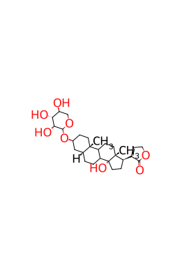 C[C@]12CC[C@H](OC3OC[C@H](O)[C@@H](O)[C@@H]3O)C[C@H]1CCC1C2CC[C@]2(C)[C@@H](C3=CCOC3=O)CC[C@]12O